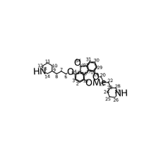 COc1ccc(OCCCC2CCCNC2)c2c1-c1c(OCCCC3CCCNC3)cccc1C2=O